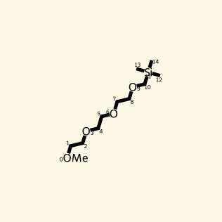 COCCOCCOCCOC[Si](C)(C)C